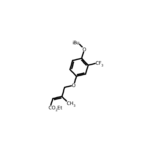 CCOC(=O)/C=C(\C)COc1ccc(OC(C)CC)c(C(F)(F)F)c1